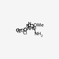 COc1cc2ncnc(Nc3ccc(OCc4ccccn4)c(Cl)c3)c2cc1OCCCN